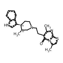 Cc1nc2scc(C)n2c(=O)c1CCN1CC[C@H](c2c[nH]c3ccccc23)[C@H](C)C1